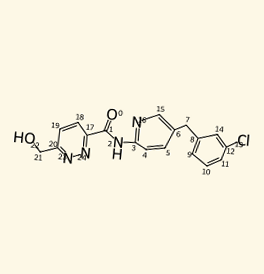 O=C(Nc1ccc(Cc2cccc(Cl)c2)cn1)c1ccc(CO)nn1